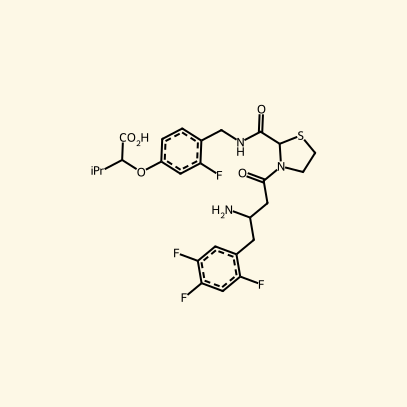 CC(C)C(Oc1ccc(CNC(=O)C2SCCN2C(=O)CC(N)Cc2cc(F)c(F)cc2F)c(F)c1)C(=O)O